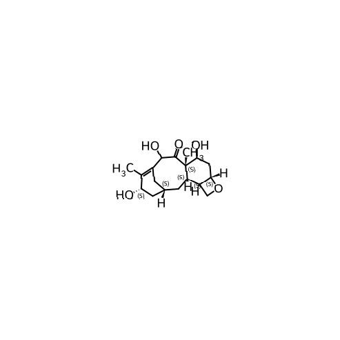 CC1=C2C[C@@H](C[C@@H]1O)C[C@H]1[C@H]3CO[C@H]3CC(O)[C@@]1(C)C(=O)C2O